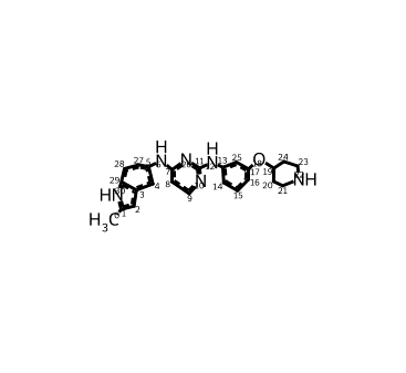 Cc1cc2cc(Nc3ccnc(Nc4cccc(OC5CCNCC5)c4)n3)ccc2[nH]1